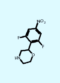 O=[N+]([O-])c1cc(F)c(C2CNCCO2)c(F)c1